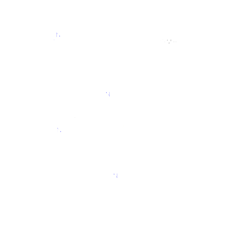 COc1ccc2c(c1)c(CC(N)=O)c(C)n2-c1sc2c(c1C(N)=O)CCN(C)C2